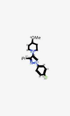 COC1CCN(c2cn(-c3ccc(F)cc3)nc2C(C)C)CC1